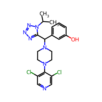 CC(C)n1nnnc1C(c1cccc(O)c1)N1CCN(c2c(Cl)cncc2Cl)CC1